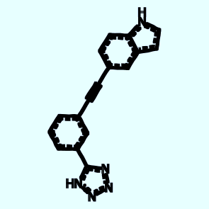 C(#Cc1ccc2[nH]ccc2c1)c1cccc(-c2nnn[nH]2)c1